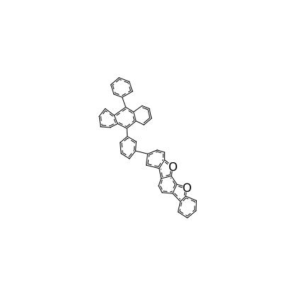 C1=C=Cc2c(c(-c3ccccc3)c3ccccc3c2-c2cccc(-c3ccc4oc5c(ccc6c7ccccc7oc65)c4c3)c2)C=1